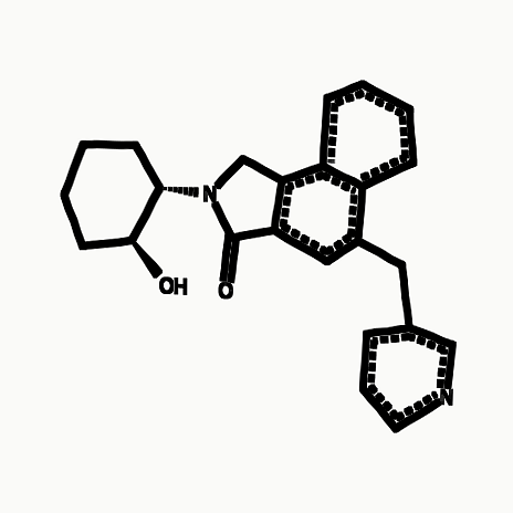 O=C1c2cc(Cc3cccnc3)c3ccccc3c2CN1[C@H]1CCCC[C@@H]1O